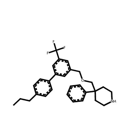 CCCc1ccc(-c2cc(COCC3(c4ccccc4)CCNCC3)cc(C(F)(F)F)c2)cc1